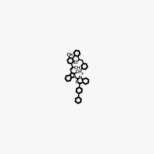 CCC(Cc1ccccc1)c1ccccc1-c1cc(/C(C)=C/c2c(C)n(-c3nc(-c4ccc(-c5ccccc5)cc4)c4ccccc4n3)c3ccccc23)ccc1C